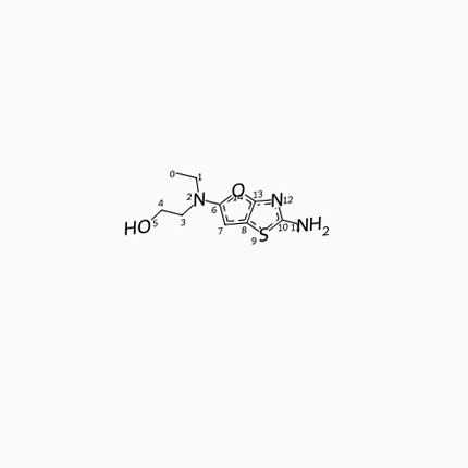 CCN(CCO)c1cc2sc(N)nc2o1